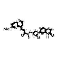 COc1ccc2nccc(/C=C/C(=O)N(C)C[C@H]3CN(c4ccc5c(c4)NC(=O)CS5)C(=O)O3)c2n1